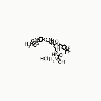 Cl.NC(CO)C(=O)NCCCCC(C(=O)NCc1ccc(C(F)(F)F)cc1)n1cc(COc2ccc3nc(S(N)(=O)=O)sc3c2)nn1